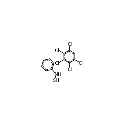 Clc1cc(Cl)c(Cl)c(Cl)c1Cl.SNc1ccccc1